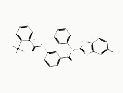 O=C(Nc1cccc(C(=O)N(c2ccccc2)c2nc3cc(Cl)ccc3o2)c1)c1ccccc1C(F)(F)F